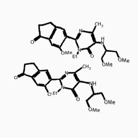 CCn1c(-c2cc3c(cc2Cl)C(=O)CC3)nc(C)c(NC(COC)COC)c1=O.CCn1c(-c2cc3c(cc2OC)C(=O)CC3)nc(C)c(NC(COC)COC)c1=O